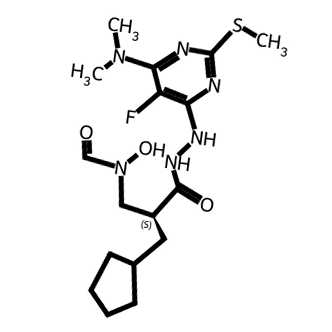 CSc1nc(NNC(=O)[C@@H](CC2CCCC2)CN(O)C=O)c(F)c(N(C)C)n1